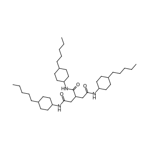 CCCCCC1CCC(NC(=O)CC(CC(=O)NC2CCC(CCCCC)CC2)C(=O)NC2CCC(CCCCC)CC2)CC1